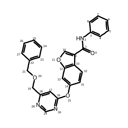 O=C(Nc1ccccc1)c1coc2cc(Oc3cc(COCc4ccccc4)ncn3)ccc12